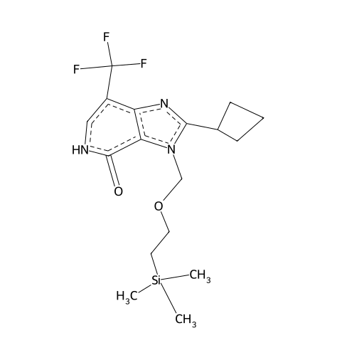 C[Si](C)(C)CCOCn1c(C2CCC2)nc2c(C(F)(F)F)c[nH]c(=O)c21